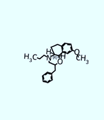 CCCN1CC(Cc2ccccc2)O[C@@H]2c3cc(OC)ccc3CC[C@H]21